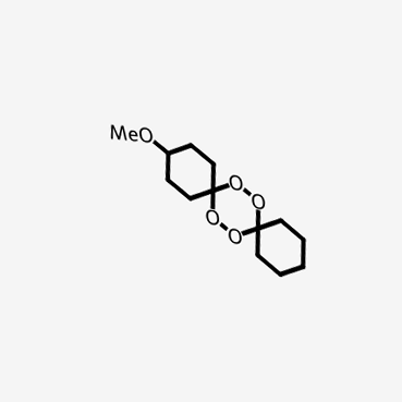 COC1CCC2(CC1)OOC1(CCCCC1)OO2